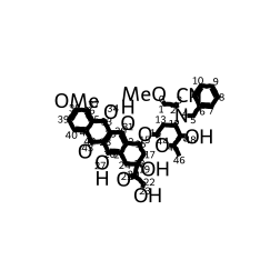 COCC(C#N)N(Cc1ccccc1)C1CC(O[C@H]2C[C@](O)(C(=O)CO)Cc3c(O)c4c(c(O)c32)C(=O)c2c(OC)cccc2C4=O)OC(C)C1O